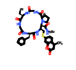 CCCCNC(=O)[C@H]1[C@@H](CSc2ccc3c(C)cc(=O)oc3c2)NC(=O)[C@H](Cc2ccccc2)NC(=O)CNC(=O)[C@H](CC(C)C)NC(=O)CNC(=O)[C@@H]2CCCN21